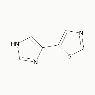 [c]1nc(-c2cncs2)c[nH]1